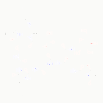 Cc1c(F)cc2nc3c(c4c2c1CC[C@@]4([SiH3])NC(=O)COCNC(=O)CNC(=O)[C@H](Cc1ccccc1)NC(=O)CNC(=O)CNC(=O)C(CCC(=O)NC[C@@H]1O[C@H](CO)[C@@H](O)[C@H](O)[C@H]1O)NC(=O)CCNC(=O)CN1C(=O)C=CC1=O)Cn1c-3cc2c(c1=O)COC(=O)[C@H]2O